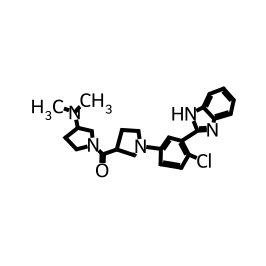 CN(C)C1CCN(C(=O)C2CCN(c3ccc(Cl)c(-c4nc5ccccc5[nH]4)c3)C2)C1